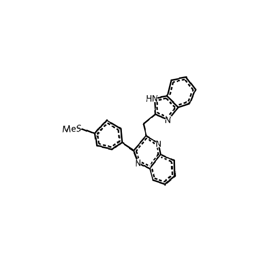 CSc1ccc(-c2nc3ccccc3nc2Cc2nc3ccccc3[nH]2)cc1